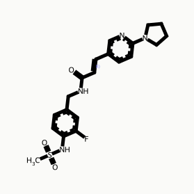 CS(=O)(=O)Nc1ccc(CNC(=O)/C=C/c2ccc(N3CCCC3)nc2)cc1F